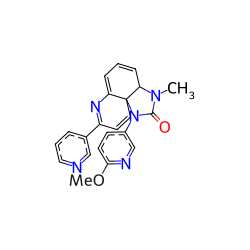 COc1ccc(N2C(=O)N(C)C3C=CC=C4N=C(c5cccnc5)C=CC432)cn1